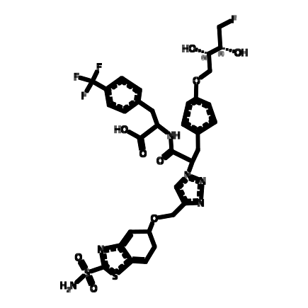 NS(=O)(=O)c1nc2c(s1)=CCC(OCc1cn(C(Cc3ccc(OC[C@H](O)[C@@H](O)CF)cc3)C(=O)NC(Cc3ccc(C(F)(F)F)cc3)C(=O)O)nn1)C=2